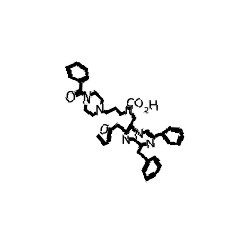 O=C(O)N(CCCN1CCN(C(=O)c2ccccc2)CC1)Cc1c(Cc2ccco2)nc2c(Cc3ccccc3)nc(-c3ccccc3)cn12